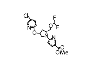 COC(=O)c1ccc(N2C[C@@H](Oc3ccc(Cl)cn3)C[C@H]2COC(F)F)nc1